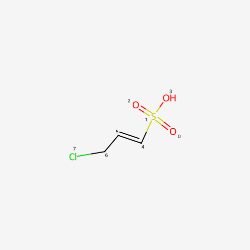 O=S(=O)(O)/C=C/CCl